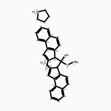 C1CC[SiH2]C1.CCC[CH2][Ti][C](CCC)(C1C(C)=Cc2c1ccc1ccccc21)C1C(C)=Cc2c1ccc1ccccc21